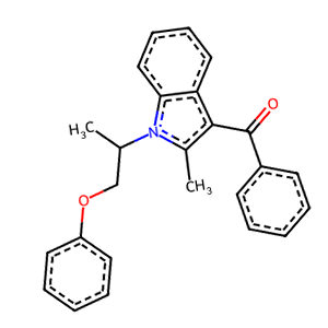 Cc1c(C(=O)c2ccccc2)c2ccccc2n1C(C)COc1ccccc1